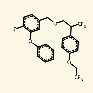 Fc1ccc(COCC(c2ccc(OCC(F)(F)F)cc2)C(F)(F)F)cc1Oc1ccccc1